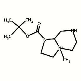 CC(C)(C)OC(=O)N1CC[N+]2(C)CCNCC12